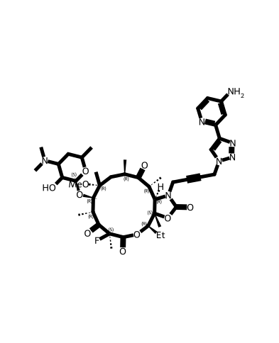 CC[C@H]1OC(=O)[C@@](C)(F)C(=O)[C@H](C)[C@@H](O[C@@H]2OC(C)CC(N(C)C)C2O)[C@](C)(OC)C[C@@H](C)C(=O)[C@H](C)[C@H]2N(CC#CCn3cc(-c4cc(N)ccn4)nn3)C(=O)O[C@]12C